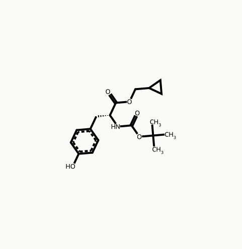 CC(C)(C)OC(=O)N[C@H](Cc1ccc(O)cc1)C(=O)OCC1CC1